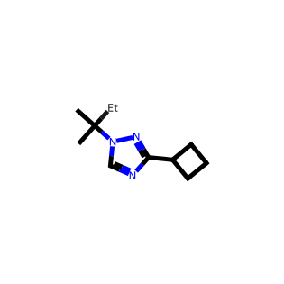 CCC(C)(C)n1cnc(C2CCC2)n1